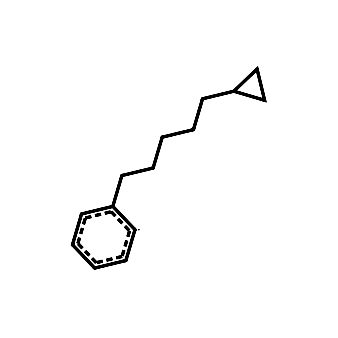 [c]1ccccc1CCCCCC1CC1